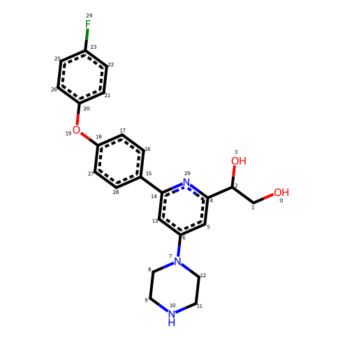 OCC(O)c1cc(N2CCNCC2)cc(-c2ccc(Oc3ccc(F)cc3)cc2)n1